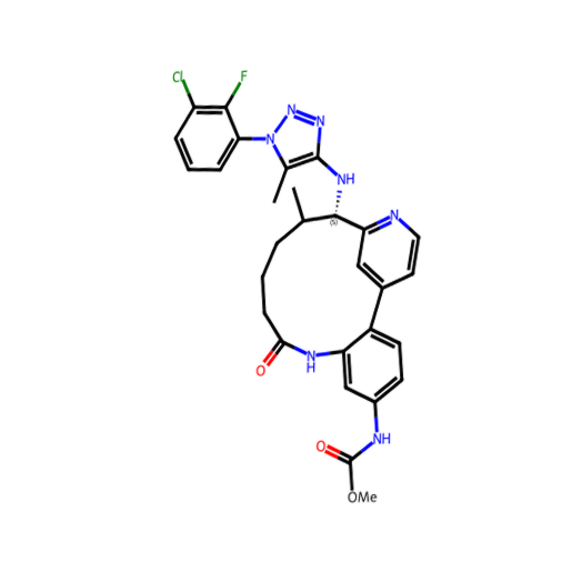 COC(=O)Nc1ccc2c(c1)NC(=O)CCCC(C)[C@H](Nc1nnn(-c3cccc(Cl)c3F)c1C)c1cc-2ccn1